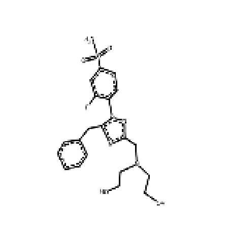 NS(=O)(=O)c1ccc(-n2nc(CN(CCO)CCO)nc2Cc2ccccc2)c(F)c1